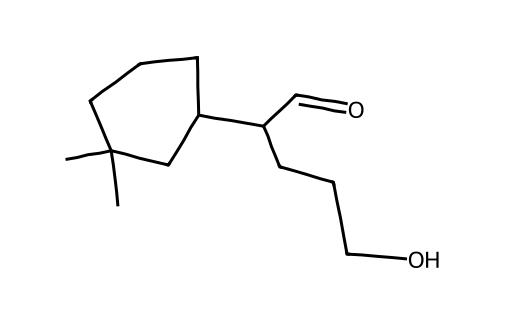 CC1(C)CCCC(C(C=O)CCCO)C1